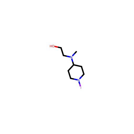 CN(CCO)C1CCN(I)CC1